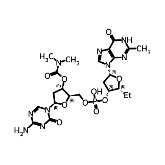 CC[C@H]1O[C@@H](n2cnc3c(=O)[nH]c(C)nc32)C[C@H]1OP(=O)(O)OC[C@H]1O[C@@H](n2cnc(N)nc2=O)C[C@H]1OC(=O)N(C)C